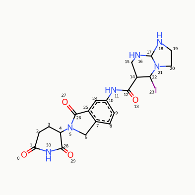 O=C1CCC(N2Cc3ccc(NC(=O)C4CNC5NCCN5C4I)cc3C2=O)C(=O)N1